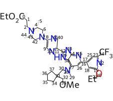 CCOC(=O)CCN1[C@H](C)CN(c2cnc(-c3nc4nc(-c5cc(OCC)nc(C(F)(F)F)c5)cc(N(C)CC5(COC)CCCC5)c4[nH]3)cn2)C[C@@H]1C